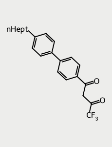 CCCCCCCc1ccc(-c2ccc(C(=O)CC(=O)C(F)(F)F)cc2)cc1